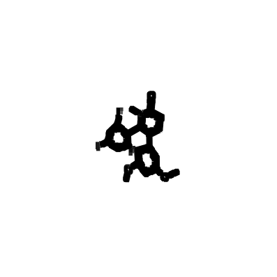 COc1cc(OC)cc(-c2ccc(=O)n(C)c2-c2c(F)cc(F)cc2F)c1